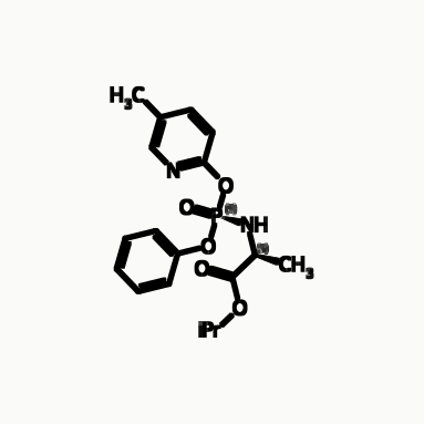 Cc1ccc(O[P@](=O)(N[C@@H](C)C(=O)OC(C)C)Oc2ccccc2)nc1